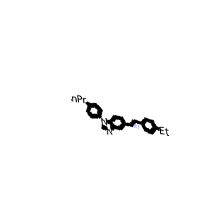 CCCc1ccc(-n2cnc3cc(/C=C/c4ccc(CC)cc4)ccc32)cc1